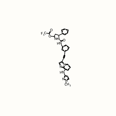 Cn1ccc(Nc2cccn3c(C#Cc4cccc(NC(=O)N5N=C(OC(=O)C(F)(F)F)CC5c5ccccc5)c4)cnc23)n1